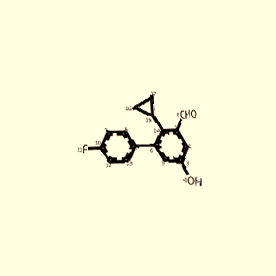 O=Cc1cc(O)cc(-c2ccc(F)cc2)c1C1CC1